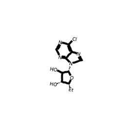 CC[C@H]1O[C@@H](n2cnc3c(Cl)ncnc32)C(O)[C@H]1O